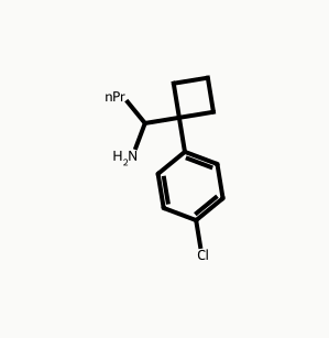 CCCC(N)C1(c2ccc(Cl)cc2)CCC1